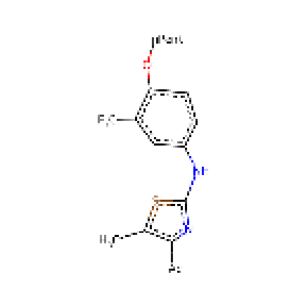 CCCCCOc1ccc(Nc2nc(C(C)=O)c(C)s2)cc1C(F)(F)F